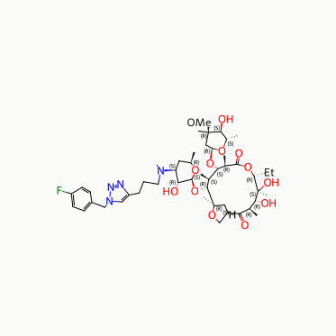 CC[C@H]1OC(=O)[C@H](C)[C@@H](O[C@H]2C[C@@](C)(OC)[C@@H](O)[C@H](C)O2)[C@H](C)[C@@H](O[C@@H]2O[C@H](C)C[C@H](N(C)CCCc3cn(Cc4ccc(F)cc4)nn3)[C@H]2O)[C@@]2(C)C[C@@H](CO2)C(=O)[C@H](C)[C@@H](O)[C@]1(C)O